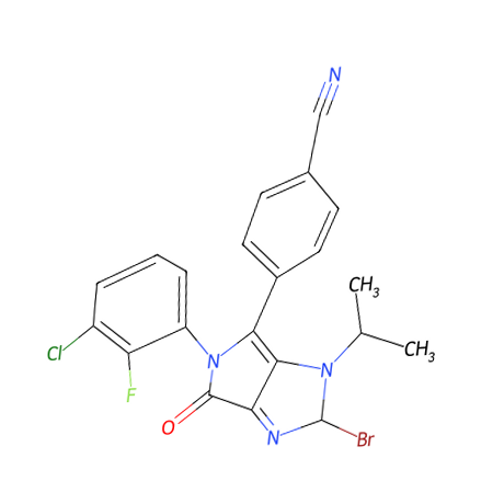 CC(C)N1C2=C(c3ccc(C#N)cc3)N(c3cccc(Cl)c3F)C(=O)C2=NC1Br